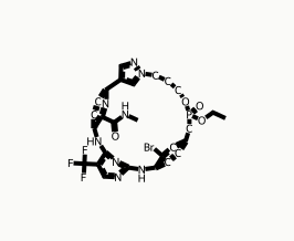 CCOP1(=O)Cc2ccc(c(Br)c2)Nc2ncc(C(F)(F)F)c(n2)Nc2ccc(nc2C(=O)NC)-c2cnn(c2)CCCO1